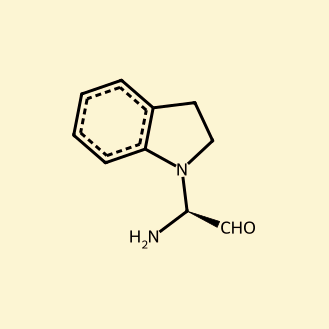 N[C@H](C=O)N1CCc2ccccc21